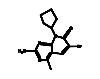 Cc1nc(N)nc2c1cc(Br)c(=O)n2C1CCCC1